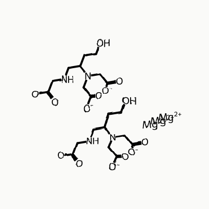 O=C([O-])CNCC(CCO)N(CC(=O)[O-])CC(=O)[O-].O=C([O-])CNCC(CCO)N(CC(=O)[O-])CC(=O)[O-].[Mg+2].[Mg+2].[Mg+2]